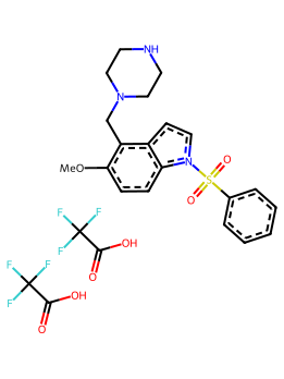 COc1ccc2c(ccn2S(=O)(=O)c2ccccc2)c1CN1CCNCC1.O=C(O)C(F)(F)F.O=C(O)C(F)(F)F